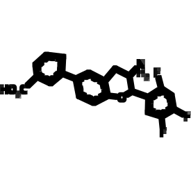 NC1Cc2cc(-c3cccc(C(=O)O)c3)ccc2OC1c1cc(F)c(F)cc1F